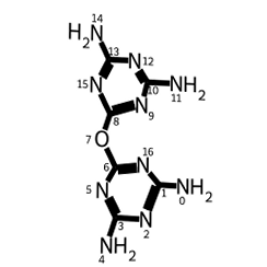 Nc1nc(N)nc(Oc2nc(N)nc(N)n2)n1